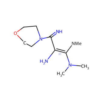 CN/C(=C(/N)C(=N)N1CCOCC1)N(C)C